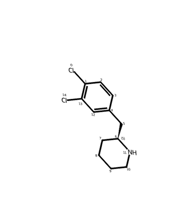 Clc1ccc(C[C@@H]2CCCCN2)cc1Cl